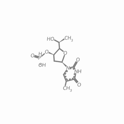 Cc1cn([C@H]2C[C@@H](O[PH](=O)O)C([C@H](C)O)O2)c(=O)[nH]c1=O